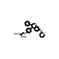 COC(COc1ccc(C2c3ccc(OC4CCCCO4)cc3OCC2c2ccccc2)cc1)OC